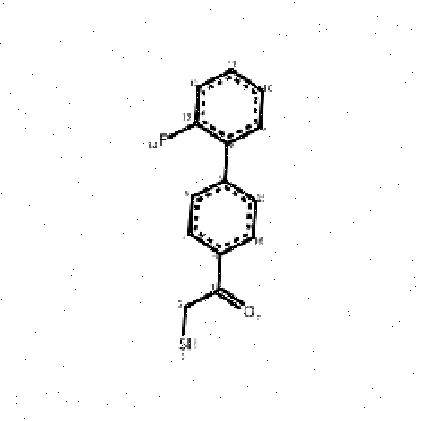 O=C(CS)c1ccc(-c2ccccc2F)cc1